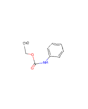 O=CCOC(=O)Nc1ccccc1